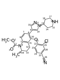 COC(=O)N1c2ccc(-c3cnn(C4CCNCC4)c3)c(Oc3ccc(C#N)cc3Cl)c2CCC1C